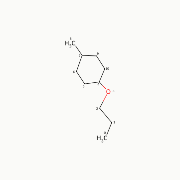 CCCOC1CCC(C)CC1